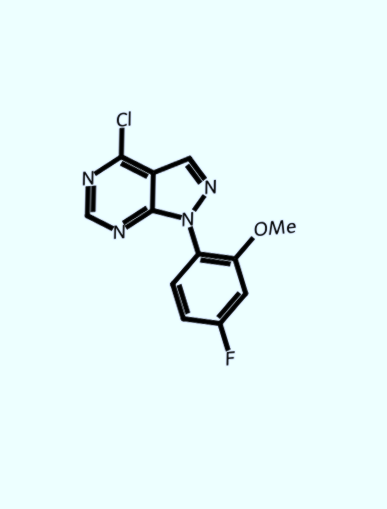 COc1cc(F)ccc1-n1ncc2c(Cl)ncnc21